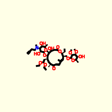 C#CCCN(C)[C@@H]1[C@@H](O)[C@H](O[C@H]2[C@@H](CC(OCC)OCC)C[C@@H](C)C(=O)/C=C/C(C)=C/[C@H](COC3O[C@H](C)[C@@H](O)[C@@H](OC)[C@H]3OC)[C@@H](CC)OC(=O)C[C@@H](O)[C@@H]2C)O[C@H](C)[C@H]1O